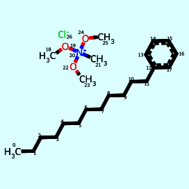 CCCCCCCCCCCCc1ccccc1.CO[N+](C)(OC)OC.[Cl-]